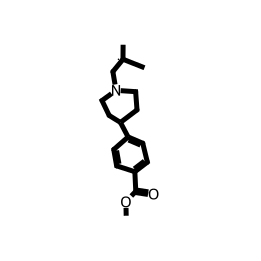 COC(=O)c1ccc(C2CCN(C[C](C)C)CC2)cc1